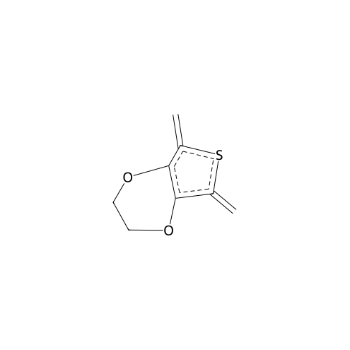 C=c1sc(=C)c2c1OCCO2